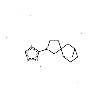 c1noc(N2CCC3(CC4CCN3C4)C2)n1